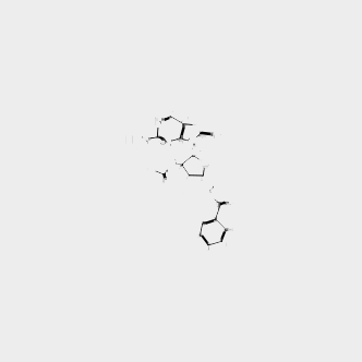 C=C(C)O[C@@H]1C[C@@H](COC(=O)c2ccccc2)O[C@H]1n1c(=O)sc2cnc(N)nc21